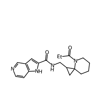 CCC(=O)N1CCCCC12CC2CNC(=O)c1cc2cnccc2[nH]1